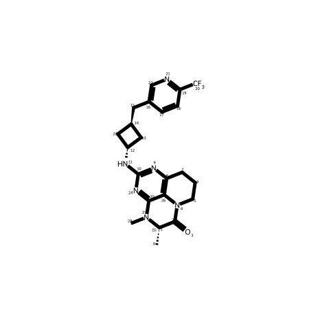 C[C@H]1C(=O)N2CCCc3nc(N[C@H]4C[C@H](Cc5ccc(C(F)(F)F)nc5)C4)nc(c32)N1C